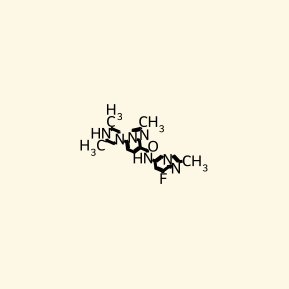 Cc1cn2cc(NC(=O)c3ccc(N4C[C@@H](C)N[C@H](C)C4)n4cc(C)nc34)cc(F)c2n1